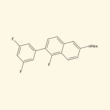 CCCCCCc1ccc2c(F)c(-c3cc(F)cc(F)c3)ccc2c1